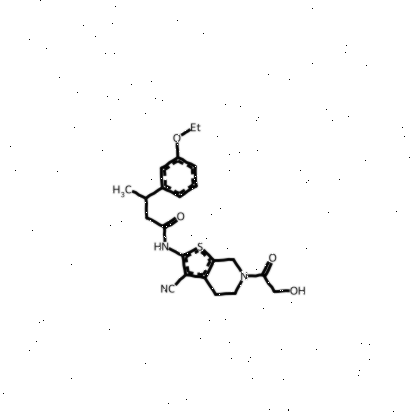 CCOc1cccc(C(C)CC(=O)Nc2sc3c(c2C#N)CCN(C(=O)CO)C3)c1